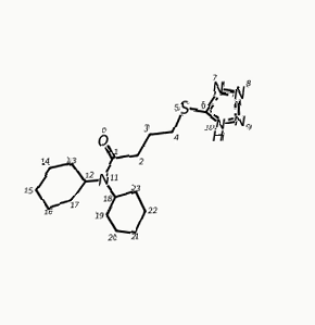 O=C(CCCSc1nnn[nH]1)N(C1CCCCC1)C1CCCCC1